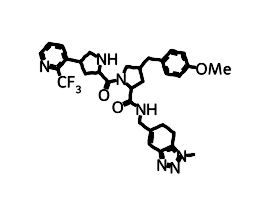 COc1ccc(CC2CC(C(=O)NCC3=Cc4nnn(C)c4CC3)N(C(=O)C3CC(c4cccnc4C(F)(F)F)CN3)C2)cc1